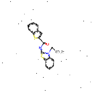 CCOC(=O)Cn1/c(=N\C(=O)c2cc3ccccc3s2)sc2ccccc21